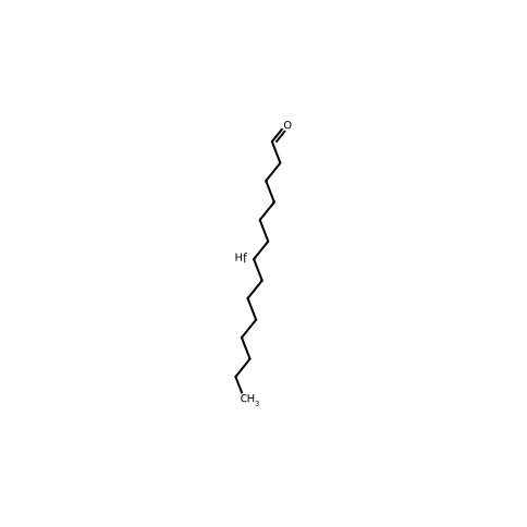 CCCCCCCCCCCCCC=O.[Hf]